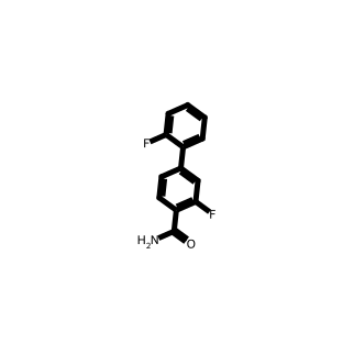 NC(=O)c1ccc(-c2ccccc2F)cc1F